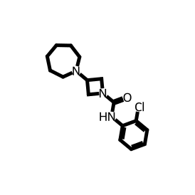 O=C(Nc1ccccc1Cl)N1CC(N2CCCCCC2)C1